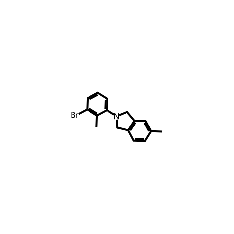 Cc1ccc2c(c1)CN(c1cccc(Br)c1C)C2